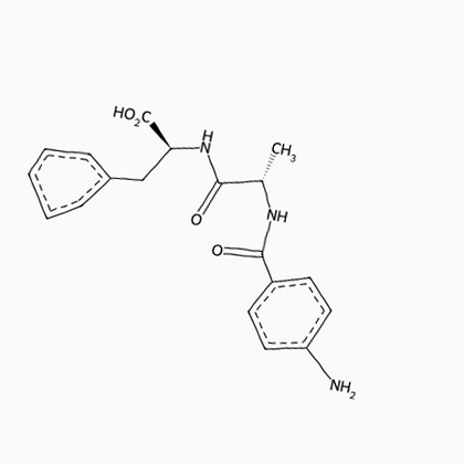 C[C@H](NC(=O)c1ccc(N)cc1)C(=O)N[C@@H](Cc1ccccc1)C(=O)O